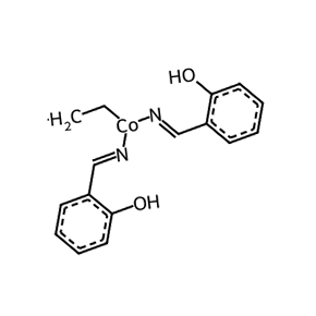 [CH2][CH2][Co]([N]=Cc1ccccc1O)[N]=Cc1ccccc1O